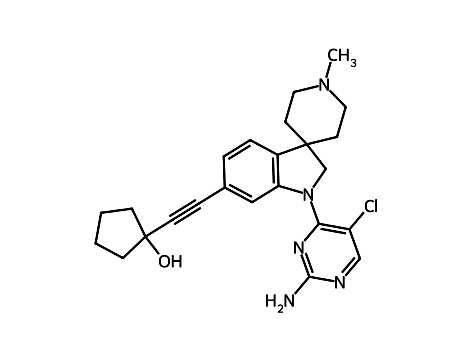 CN1CCC2(CC1)CN(c1nc(N)ncc1Cl)c1cc(C#CC3(O)CCCC3)ccc12